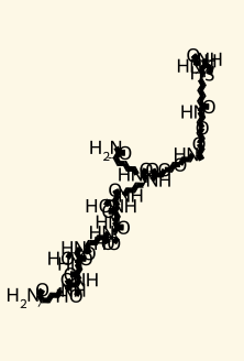 C=C(COCCOCCNC(=O)CCCCC[C@@H]1SC[C@@H]2NC(=O)N[C@@H]21)NCCOCCOCC(=O)N[C@@H](CCCCNC(=O)[C@H](CO)NC(=O)CNC(=O)[C@H](CO)NC(=O)CCCC(=O)N[C@@H](CO)C(=O)NCC(=O)N[C@@H](CO)C(=O)NCCCC[C@H](C)C(N)=O)C(=O)NCCCC[C@H](C)C(N)=O